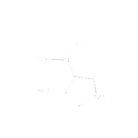 CCN(C)C1CCNC1.Cl